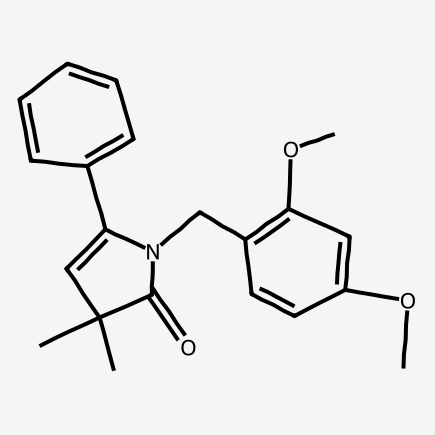 COc1ccc(CN2C(=O)C(C)(C)C=C2c2ccccc2)c(OC)c1